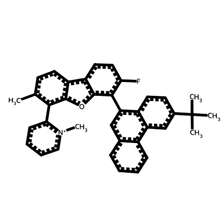 Cc1ccc2c(oc3c(-c4cc5ccccc5c5cc(C(C)(C)C)ccc45)c(F)ccc32)c1-c1cccc[n+]1C